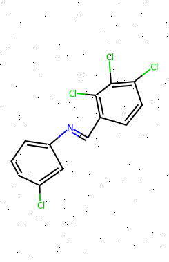 Clc1cccc(N=Cc2ccc(Cl)c(Cl)c2Cl)c1